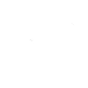 CCN(CC)c1cc(C)c(C2=Nc3cccc4cccc(c34)S2)cc1C